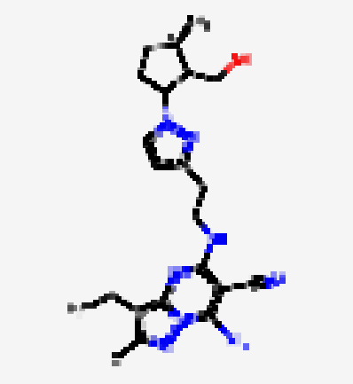 CCc1c(C)nn2c(N)c(C#N)c(NCCc3ccn(C4CC[C@@H](C)C4CO)n3)nc12